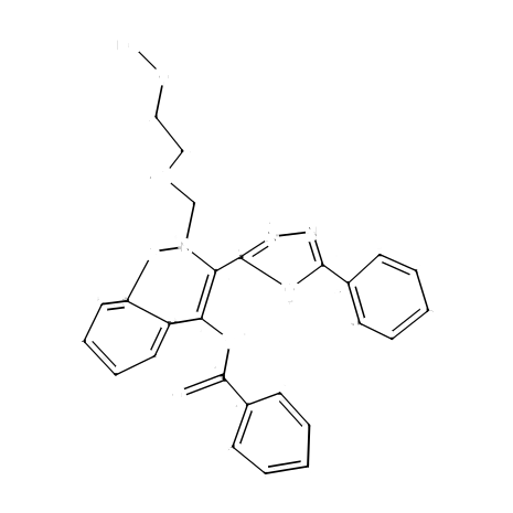 COCCOCN1Sc2ccccc2C(OC(=O)c2ccccc2)=C1c1nnc(-c2ccccc2)o1